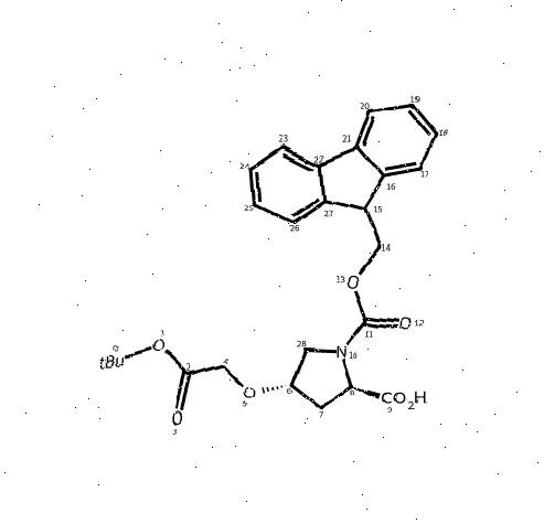 CC(C)(C)OC(=O)CO[C@H]1C[C@H](C(=O)O)N(C(=O)OCC2c3ccccc3-c3ccccc32)C1